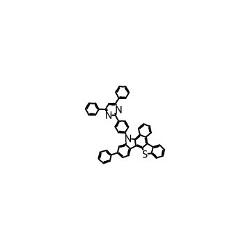 c1ccc(-c2ccc3c4c5sc6ccccc6c5c5ccccc5c4n(-c4ccc(-c5nc(-c6ccccc6)cc(-c6ccccc6)n5)cc4)c3c2)cc1